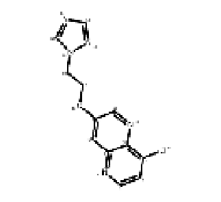 Clc1ccnc2cc(OCCn3cncn3)cnc12